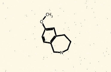 COc1ccc2c(c1)CCC[N]C2